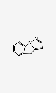 c1ccc2c(c1)Cc1ccnn1-2